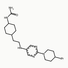 CC(C)C1CCN(c2ncc(NCCC3CCC(NC(N)=O)CC3)cn2)CC1